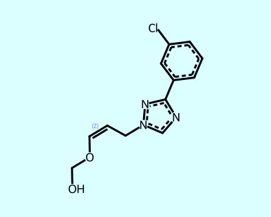 OCO/C=C\Cn1cnc(-c2cccc(Cl)c2)n1